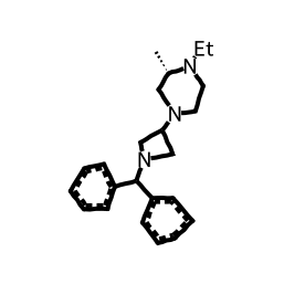 CCN1CCN(C2CN(C(c3ccccc3)c3ccccc3)C2)C[C@@H]1C